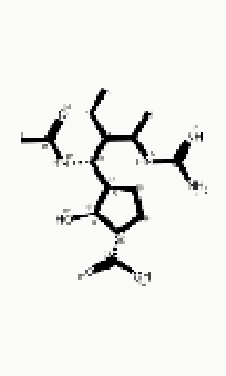 CCC(C(C)NC(=N)N)[C@@H](NC(C)=O)[C@H]1CC[C@H](C(=O)O)[C@H]1O